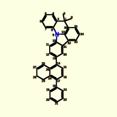 CC1(C)c2ccccc2-n2c3ccc(-c4ccc(-c5ccccc5)c5c4C=CCC5)cc3c3cccc1c32